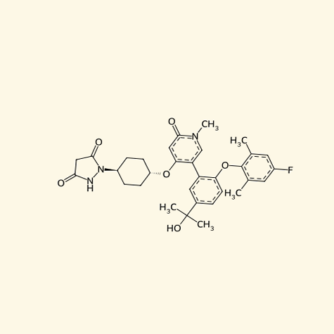 Cc1cc(F)cc(C)c1Oc1ccc(C(C)(C)O)cc1-c1cn(C)c(=O)cc1O[C@H]1CC[C@H](N2NC(=O)CC2=O)CC1